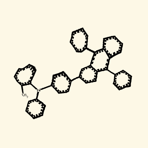 Cc1ccccc1N(c1ccccc1)c1ccc(-c2ccc3c(-c4ccccc4)c4ccccc4c(-c4ccccc4)c3c2)cc1